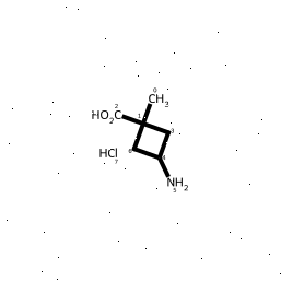 CC1(C(=O)O)CC(N)C1.Cl